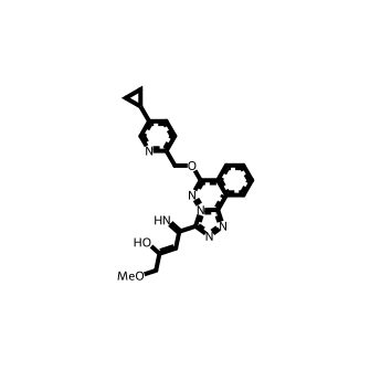 COC/C(O)=C/C(=N)c1nnc2c3ccccc3c(OCc3ccc(C4CC4)cn3)nn12